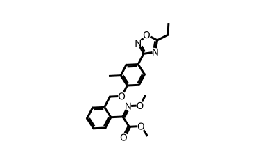 CCc1nc(-c2ccc(OCc3ccccc3C(=NOC)C(=O)OC)c(C)c2)no1